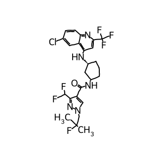 CC(C)(F)Cn1cc(C(=O)N[C@@H]2CCC[C@H](Nc3cc(C(F)(F)F)nc4ccc(Cl)cc34)C2)c(C(F)F)n1